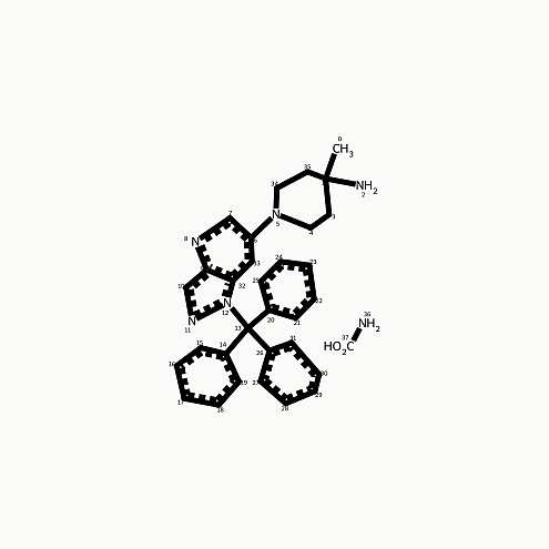 CC1(N)CCN(c2cnc3cnn(C(c4ccccc4)(c4ccccc4)c4ccccc4)c3c2)CC1.NC(=O)O